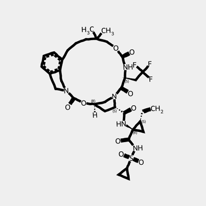 C=C[C@@H]1C[C@]1(NC(=O)[C@@H]1C[C@@H]2CN1C(=O)[C@H](CC(F)(F)F)NC(=O)OCC(C)(C)CCCc1cccc3c1CN(C3)C(=O)O2)C(=O)NS(=O)(=O)C1CC1